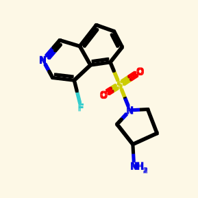 NC1CCN(S(=O)(=O)c2cccc3cncc(F)c23)C1